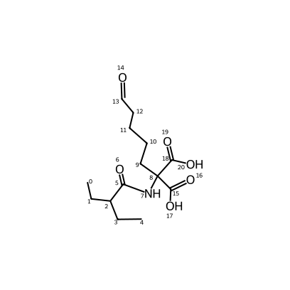 CCC(CC)C(=O)NC(CCCCC=O)(C(=O)O)C(=O)O